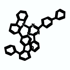 c1ccc(-c2ccc(-c3nc(-c4ccccc4)nc(-n4c5ccccc5c5cccc(-c6ccc7oc8cccc(-c9ccccc9)c8c7c6)c54)n3)cc2)cc1